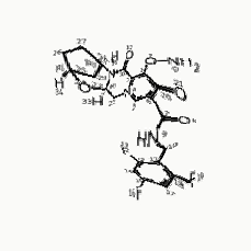 NOc1c2n(cc(C(=O)NCc3c(F)cc(F)cc3F)c1=O)C[C@H]1O[C@@H]3CC[C@H](C3)N1C2=O